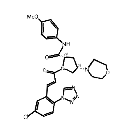 COc1ccc(NC(=O)[C@@H]2C[C@H](N3CCOCC3)CN2C(=O)C=Cc2cc(Cl)ccc2-n2cnnn2)cc1